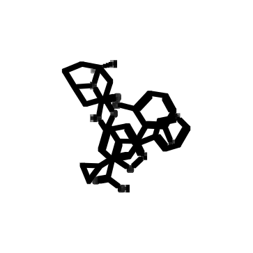 O=C(O)c1cc(NC(=O)N2C3CC[C@H]2CC(OCc2c(-c4c(Cl)cccc4Cl)noc2C2CC2)C3)cc(-c2cccnc2)c1